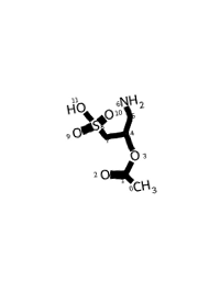 CC(=O)OC(CN)CS(=O)(=O)O